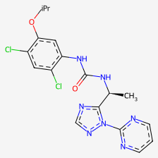 CC(C)Oc1cc(NC(=O)N[C@@H](C)c2ncnn2-c2ncccn2)c(Cl)cc1Cl